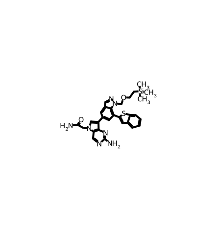 C[Si](C)(C)CCOCn1ncc2cc(-c3cn(CC(N)=O)c4cnc(N)nc34)cc(-c3cc4ccccc4s3)c21